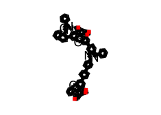 c1ccc(-c2nnc(-c3c(-c4ccc5c(c4)Oc4cc(-c6ccc7c(-c8ccccc8)nc(-c8ccc(-c9ccc(-c%10ccc%11c(c%10)Oc%10ccccc%10C%11%10c%11ccccc%11-c%11ccccc%11%10)cc9)cc8)nc7c6)ccc4C54c5ccccc5-c5ccccc54)ccc4ccccc34)o2)cc1